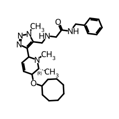 C[C@@H]1C(OC2CCCCCCC2)C=CC(c2nnn(C)c2CNCC(=O)NCc2ccccc2)N1C